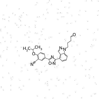 CC(C)Oc1ccc(-c2nc(-c3cccc4c3cnn4CCCC=O)no2)cc1C#N